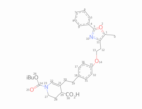 Cc1oc(-c2ccccc2)nc1CCOc1ccc(CCC2=CN(C(=O)OCC(C)C)CCC2C(=O)O)cc1